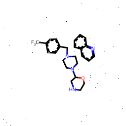 FC(F)(F)c1ccc(CN2CCN(C3CNCCO3)CC2)cc1.c1ccc2ncccc2c1